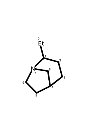 CC[C]1CCC2CCN1C2